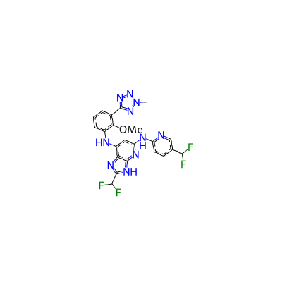 COc1c(Nc2cc(Nc3ccc(C(F)F)cn3)nc3[nH]c(C(F)F)nc23)cccc1-c1nnn(C)n1